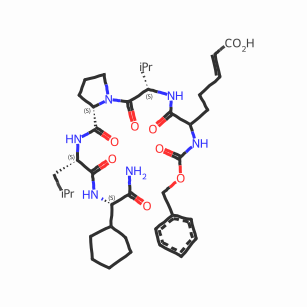 CC(C)C[C@H](NC(=O)[C@@H]1CCCN1C(=O)[C@@H](NC(=O)C(CCC=CC(=O)O)NC(=O)OCc1ccccc1)C(C)C)C(=O)N[C@H](C(N)=O)C1CCCCC1